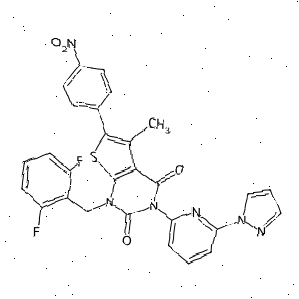 Cc1c(-c2ccc([N+](=O)[O-])cc2)sc2c1c(=O)n(-c1cccc(-n3cccn3)n1)c(=O)n2Cc1c(F)cccc1F